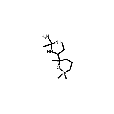 CCC(NC(C)(N)N)C1(C)CCC[Si](C)(C)O1